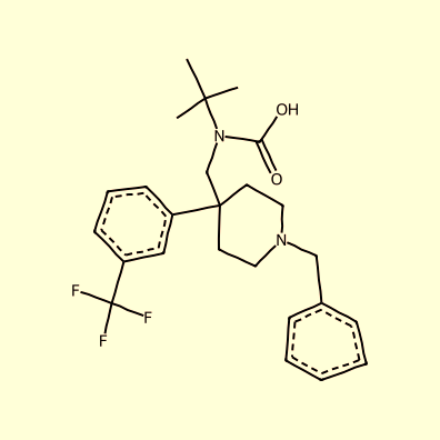 CC(C)(C)N(CC1(c2cccc(C(F)(F)F)c2)CCN(Cc2ccccc2)CC1)C(=O)O